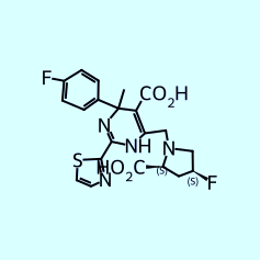 CC1(c2ccc(F)cc2)N=C(c2nccs2)NC(CN2C[C@@H](F)C[C@H]2C(=O)O)=C1C(=O)O